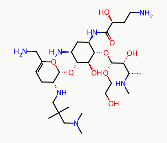 CN[C@@H](C)[C@@H](O)[C@H](OCCO)O[C@@H]1[C@@H](O)[C@H](O[C@H]2OC(CN)=CC[C@H]2NCC(C)(C)CN(C)C)[C@@H](N)C[C@H]1NC(=O)[C@@H](O)CCN